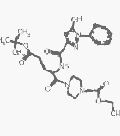 CCOC(=O)N1CCN(C(=O)C(CCC(=O)OC(C)(C)C)NC(=O)c2cc(O)n(-c3ccccc3)n2)CC1